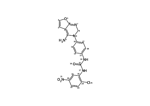 NC1=c2ccoc2=NCN1c1ccc(NC(=O)Nc2cc([N+](=O)[O-])ccc2Cl)cc1